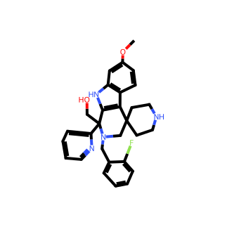 COc1ccc2c3c([nH]c2c1)C(CO)(c1ccccn1)N(Cc1ccccc1F)CC31CCNCC1